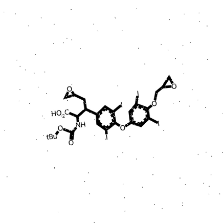 CC(C)(C)OC(=O)NC(C(=O)O)C(CC1CO1)c1cc(I)c(Oc2cc(I)c(OCC3CO3)c(I)c2)c(I)c1